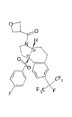 O=C(C1COC1)N1CC[C@@]2(S(=O)(=O)c3ccc(F)cc3)c3ccc(C(F)(C(F)(F)F)C(F)(F)F)cc3CC[C@@H]12